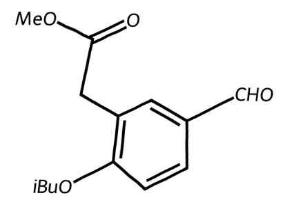 COC(=O)Cc1cc(C=O)ccc1OCC(C)C